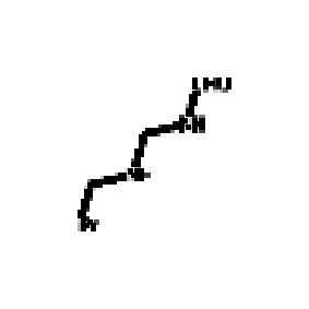 CC(C)CN[CH]NC=O